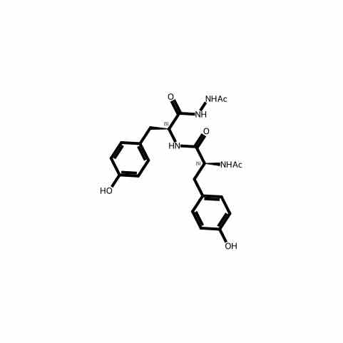 CC(=O)NNC(=O)[C@H](Cc1ccc(O)cc1)NC(=O)[C@H](Cc1ccc(O)cc1)NC(C)=O